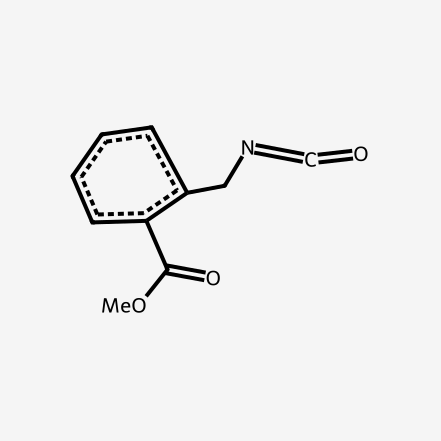 COC(=O)c1ccccc1CN=C=O